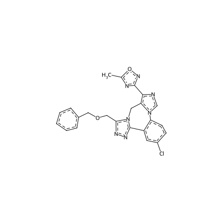 Cc1nc(-c2ncn3c2Cn2c(COCc4ccccc4)nnc2-c2cc(Cl)ccc2-3)no1